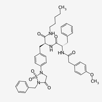 CCCCCNC(=O)[C@H](Cc1ccc(N2CC(=O)N(Cc3ccccc3)S2(=O)=O)cc1)NC(=O)[C@H](Cc1ccccc1)NC(=O)Cc1ccc(OC)cc1